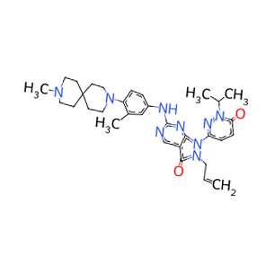 C=CCn1c(=O)c2cnc(Nc3ccc(N4CCC5(CCN(C)CC5)CC4)c(C)c3)nc2n1-c1ccc(=O)n(C(C)C)n1